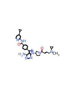 CN(C/C=C/C(=O)N1CC[C@@H](n2nc(-c3ccc(C(=O)Nc4cc(C5CC5)ccn4)cc3)c3c(N)ncnc32)C1)C1CC1